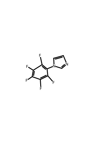 Fc1c(F)c(F)c(-n2ccnc2)c(F)c1F